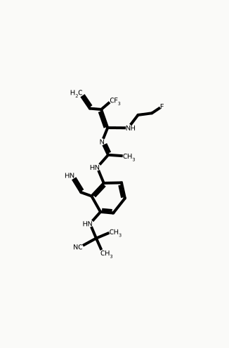 C=C/C(=C(\N=C(/C)Nc1cccc(NC(C)(C)C#N)c1C=N)NCCF)C(F)(F)F